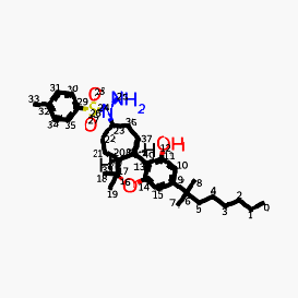 CCCCCCC(C)(C)c1cc(O)c2c(c1)OC(C)(C)[C@@H]1CCC(N(N)S(=O)(=O)c3ccc(C)cc3)CC[C@@H]21